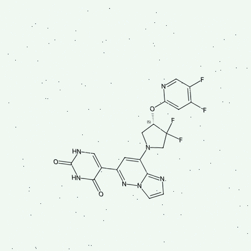 O=c1[nH]cc(-c2cc(N3C[C@H](Oc4cc(F)c(F)cn4)C(F)(F)C3)c3nccn3n2)c(=O)[nH]1